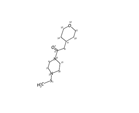 CSN1CCN(C(=O)CC2CCOCC2)CC1